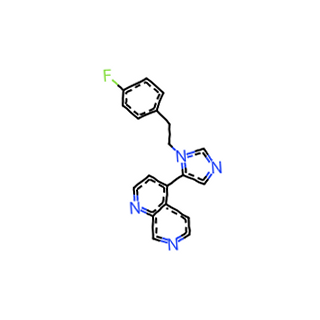 Fc1ccc(CCn2cncc2-c2ccnc3cnccc23)cc1